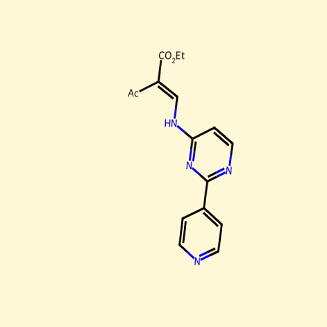 CCOC(=O)/C(=C/Nc1ccnc(-c2ccncc2)n1)C(C)=O